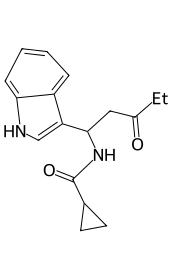 CCC(=O)CC(NC(=O)C1CC1)c1c[nH]c2ccccc12